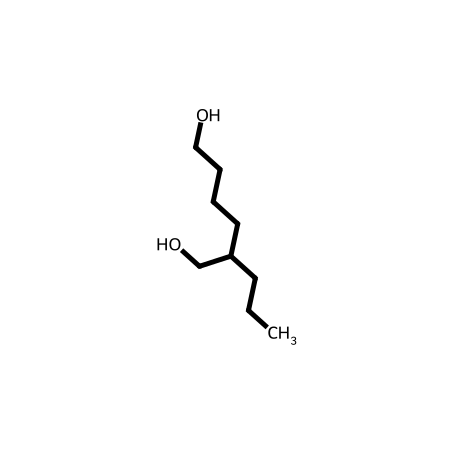 CCCC(CO)CCCCO